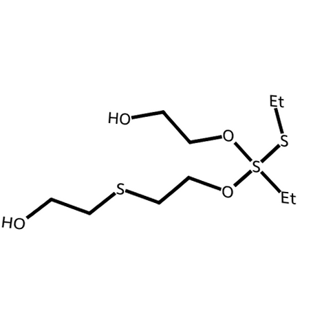 CCSS(CC)(OCCO)OCCSCCO